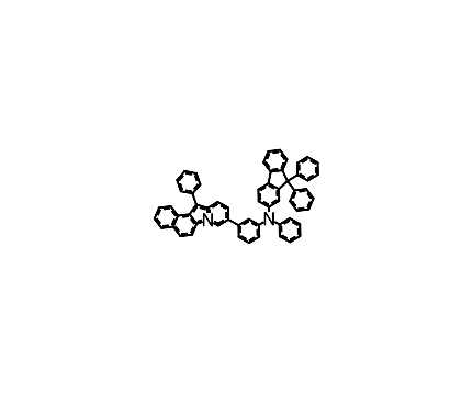 c1ccc(-c2c3c4ccccc4ccc3n3cc(-c4cccc(N(c5ccccc5)c5ccc6c(c5)C(c5ccccc5)(c5ccccc5)c5ccccc5-6)c4)ccc23)cc1